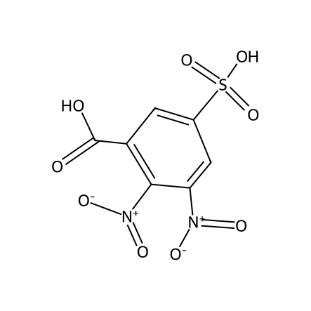 O=C(O)c1cc(S(=O)(=O)O)cc([N+](=O)[O-])c1[N+](=O)[O-]